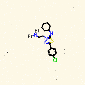 CCN(CC)CCn1nc(-c2ccc(Cl)cc2)s/c1=N/C1CCCCC1